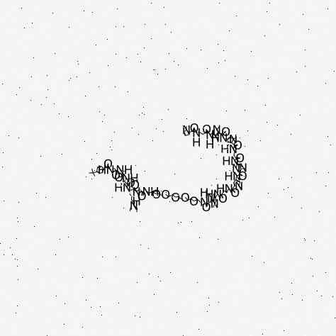 CCN(CC)CCCC[C@H](NC(=O)CNC(=O)[C@H](C)NC(=O)CNC(=O)c1ccc(C(C)(C)C)cc1)C(=O)NCC(=O)NCCOCCOCCOCCOCCOCCNC(=O)c1nc(NC(=O)CCNC(=O)c2cc(NC(=O)c3nc(NC(=O)CCNC(=O)c4cc(NC(=O)c5nc(NC(=O)CCNC(=O)c6cccn6C)cn5C)cn4C)cn3C)cn2C)cn1C